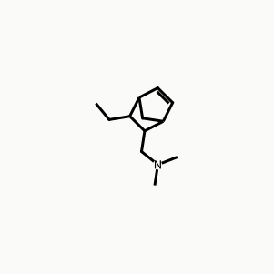 CCC1C2C=CC(C2)C1CN(C)C